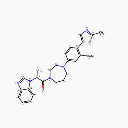 COc1cc(N2CCCN(C(=O)C(C)n3cnc4ccccc43)CC2)ccc1-c1cnc(C)o1